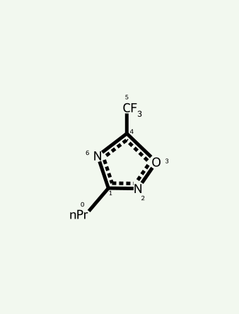 CCCc1noc(C(F)(F)F)n1